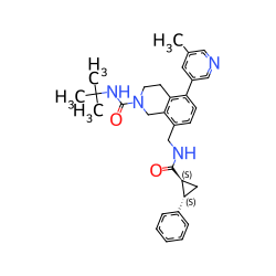 Cc1cncc(-c2ccc(CNC(=O)[C@H]3C[C@@H]3c3ccccc3)c3c2CCN(C(=O)NC(C)(C)C)C3)c1